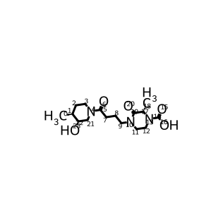 C[C@H]1CCN(C(=O)CCCN2CCN(C(=O)O)[C@@H](C)C2=O)C[C@H]1O